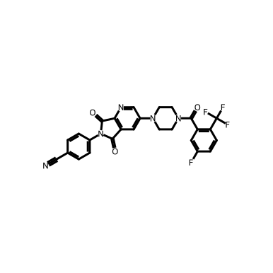 N#Cc1ccc(N2C(=O)c3cc(N4CCN(C(=O)c5cc(F)ccc5C(F)(F)F)CC4)cnc3C2=O)cc1